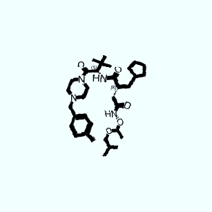 Cc1ccc(CN2CCN(C(=O)[C@@H](NC(=O)[C@@H](CC(=O)NOC(C)OCC(C)C)CC3CCCC3)C(C)(C)C)CC2)cc1